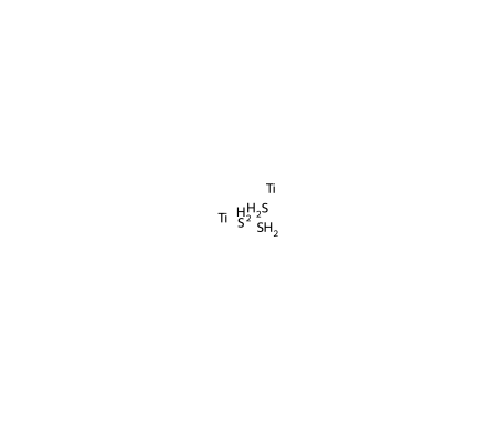 S.S.S.[Ti].[Ti]